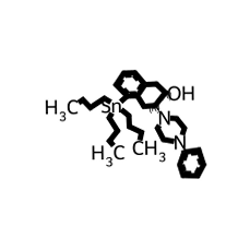 CCC[CH2][Sn]([CH2]CCC)([CH2]CCC)[c]1cccc2c1C[C@@H](N1CCN(c3ccccc3)CC1)[C@H](O)C2